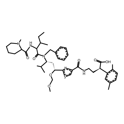 CCC(C)C(NC(=O)C1CCCCN1C)C(=O)N(Cc1ccccc1)[C@H](C[C@@H](OCOC)c1nc(C(=O)NCC[C@@H](C(=O)O)c2cc(C)ccc2C)cs1)C(C)C